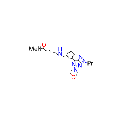 CNC(=O)CCCCCNCc1cccc(-c2nc(N3CCOCC3)nc3c2ncn3C(C)C)c1